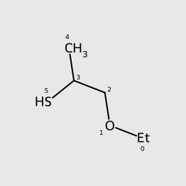 [CH2]COCC(C)S